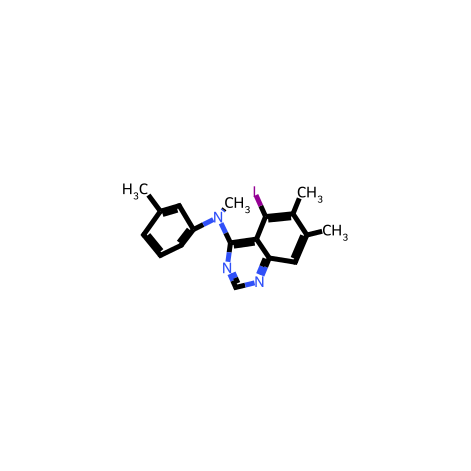 Cc1cccc(N(C)c2ncnc3cc(C)c(C)c(I)c23)c1